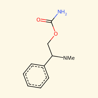 CNC(COC(N)=O)c1ccccc1